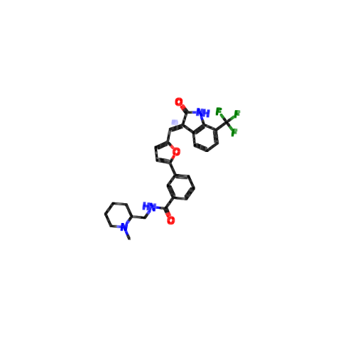 CN1CCCCC1CNC(=O)c1cccc(-c2ccc(/C=C3/C(=O)Nc4c3cccc4C(F)(F)F)o2)c1